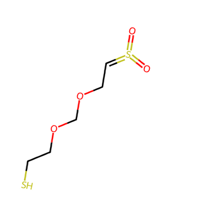 O=S(=O)=CCOCOCCS